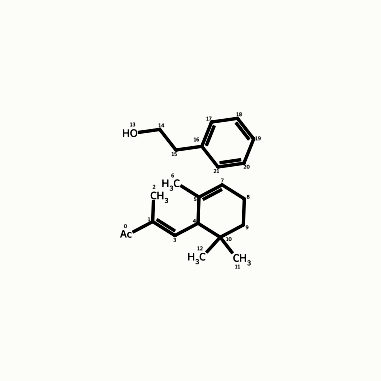 CC(=O)C(C)=CC1C(C)=CCCC1(C)C.OCCc1ccccc1